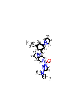 CC(=O)N(C)c1ccn(C(=O)N2CCC3(CCCN3Cc3cc(N4CCCC4)cc(C(F)(F)F)c3)CC2)n1